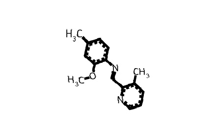 COc1cc(C)ccc1N=Cc1ncccc1C